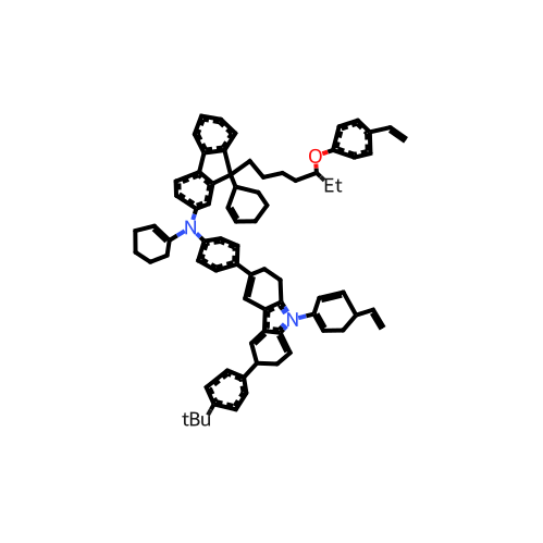 C=Cc1ccc(OC(CC)CCCCC2(C3C=CCCC3)c3ccccc3-c3ccc(N(C4=CCCCC4)c4ccc(C5=Cc6c(n(C7=CCC(C=C)C=C7)c7c6=CC(c6ccc(C(C)(C)C)cc6)CC=7)CC5)cc4)cc32)cc1